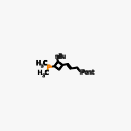 CCCCC1C(/C=C/CC(C)CCC)CC1P(C)C